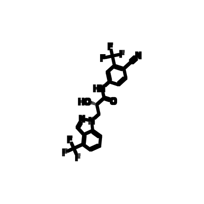 N#Cc1ccc(NC(=O)[C@@H](O)Cn2ncc3c(C(F)(F)F)cccc32)cc1C(F)(F)F